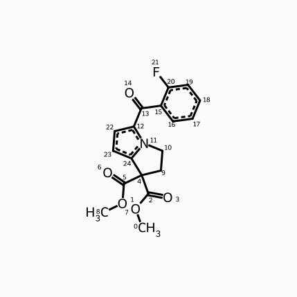 COC(=O)C1(C(=O)OC)CCn2c(C(=O)c3ccccc3F)ccc21